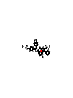 COc1ccc(-c2nc(-c3ccc(CN)cc3)c(-c3ccc(Cl)cc3)n2Cc2ccc(-c3ccccc3)c(C(=O)O)c2)cc1